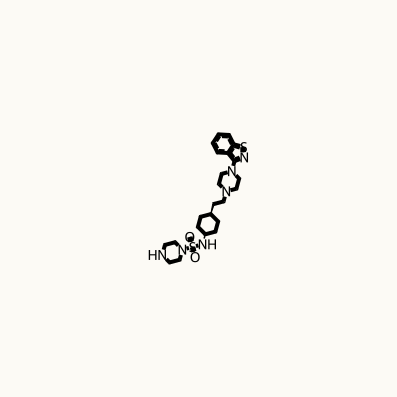 O=S(=O)(N[C@H]1CC[C@H](CCN2CCN(c3nsc4ccccc34)CC2)CC1)N1CCNCC1